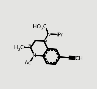 C#Cc1ccc2c(c1)[C@H](N(C(=O)O)C(C)C)C[C@H](C)N2C(C)=O